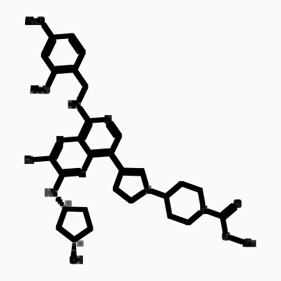 CCc1nc2c(NCc3ccc(OC)cc3OC)ncc(C3=CN(C4CCN(C(=O)OC(C)(C)C)CC4)CC3)c2nc1N[C@@H]1CC[C@H](O)C1